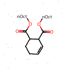 CCCCCCCCOC(=O)C1C=CCCC1C(=O)OCCCCCCCC